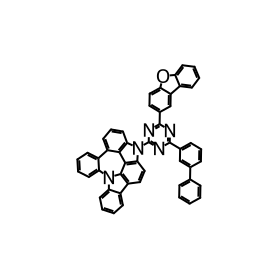 c1ccc(-c2cccc(-c3nc(-c4ccc5oc6ccccc6c5c4)nc(-n4c5cccc6c7ccccc7n7c8ccccc8c8ccc4c(c65)c87)n3)c2)cc1